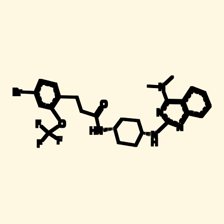 CN(C)c1nc(N[C@H]2CC[C@@H](NC(=O)CCc3ccc(Br)cc3OC(F)(F)F)CC2)nc2ccccc12